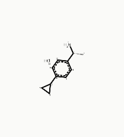 C[C@@H](N)c1ccc(C2CC2)cc1.Cl